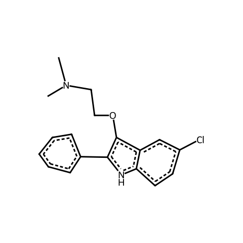 CN(C)CCOc1c(-c2ccccc2)[nH]c2ccc(Cl)cc12